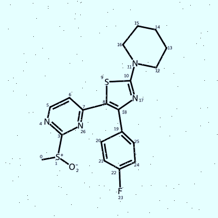 C[S+]([O-])c1nccc(-c2sc(N3CCCCC3)nc2-c2ccc(F)cc2)n1